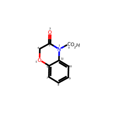 O=C(O)N1C(=O)COc2ccccc21